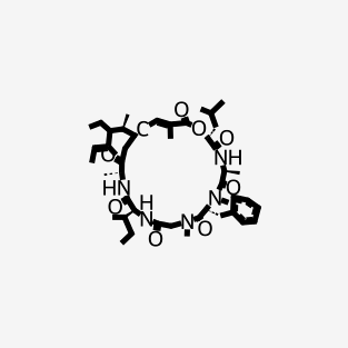 C/C=C(\C)C(CC)[C@@H](C)[C@@H]1C/C=C(\C)C(=O)O[C@H](CC(C)C)C(=O)N[C@@H](C)C(=O)N(C)[C@H](Cc2ccccc2)C(=O)N(C)CC(=O)N[C@@H](C(C)CC)C(=O)N[C@H](C)C(=O)C1